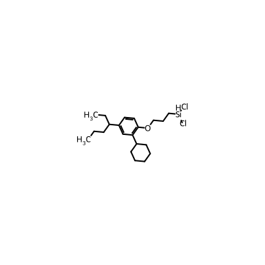 CCCC(CC)c1ccc(OCCC[SiH](Cl)Cl)c(C2CCCCC2)c1